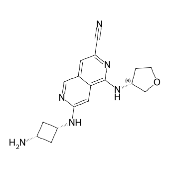 N#Cc1cc2cnc(N[C@H]3C[C@@H](N)C3)cc2c(N[C@@H]2CCOC2)n1